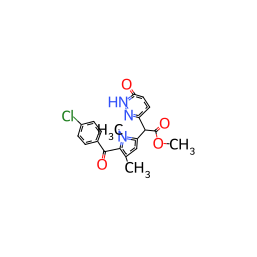 COC(=O)C(c1ccc(=O)[nH]n1)c1cc(C)c(C(=O)c2ccc(Cl)cc2)n1C